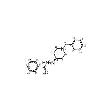 O=C(NN=C1CCN(Cc2ccccc2)CC1)c1ccncc1